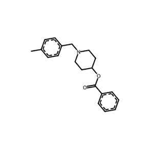 Cc1ccc(CN2CCC(OC(=O)c3ccccc3)CC2)cc1